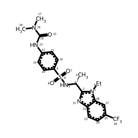 CCn1c([C@@H](C)NS(=O)(=O)c2ccc(NC(=O)N(C)C)cc2)nc2ccc(C(F)(F)F)cc21